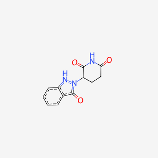 O=C1CCC(n2[nH]c3ccccc3c2=O)C(=O)N1